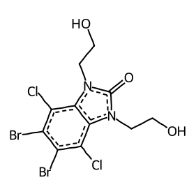 O=c1n(CCO)c2c(Cl)c(Br)c(Br)c(Cl)c2n1CCO